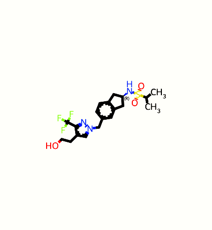 CC(C)S(=O)(=O)N[C@@H]1Cc2ccc(Cn3cc(CCO)c(C(F)(F)F)n3)cc2C1